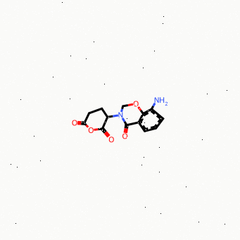 Nc1cccc2c1OCN(C1CCC(=O)OC1=O)C2=O